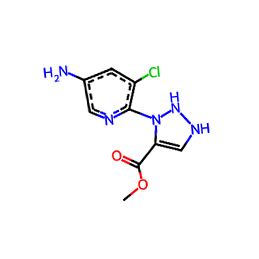 COC(=O)C1=CNNN1c1ncc(N)cc1Cl